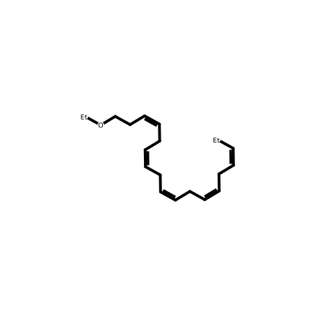 CC/C=C\C/C=C\C/C=C\C/C=C\C/C=C\CCOCC